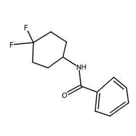 O=C(NC1CCC(F)(F)CC1)c1ccccc1